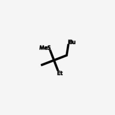 CCC(C)CC(C)(CC)SC